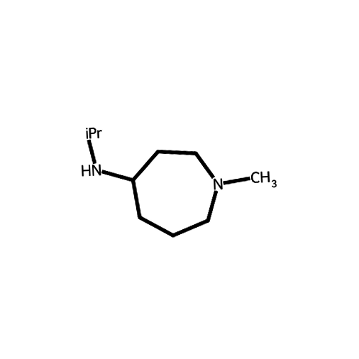 CC(C)NC1CCCN(C)CC1